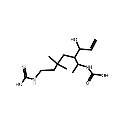 C=CC(O)C(CC(C)(C)CCNC(=O)O)C(C)NC(=O)O